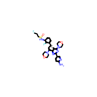 Nc1ccc(-c2nc(N3CCOCC3)c3cc(-c4cccc(N[S+]([O-])CCCF)c4F)cc(N4CCOCC4)c3n2)cn1